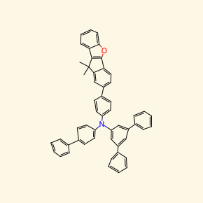 CC1(C)c2cc(-c3ccc(N(c4ccc(-c5ccccc5)cc4)c4cc(-c5ccccc5)cc(-c5ccccc5)c4)cc3)ccc2-c2oc3ccccc3c21